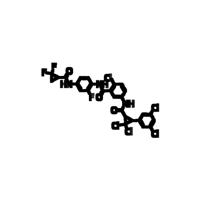 O=C(Nc1ccc(NC(=O)C2CC2(F)F)cc1F)c1cc(NC(=O)C2C(c3cc(Cl)cc(Cl)c3)C2(Cl)Cl)ccc1Cl